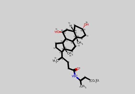 CCOC(=O)CC(C)NC(=O)CCC(C)C1CCC2C3C(CC[C@]12C)[C@@]1(C)CC[C@@H](O)C[C@H]1C[C@@H]3O